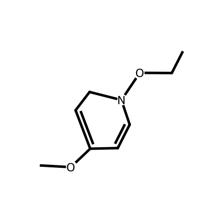 CCON1C=CC(OC)=CC1